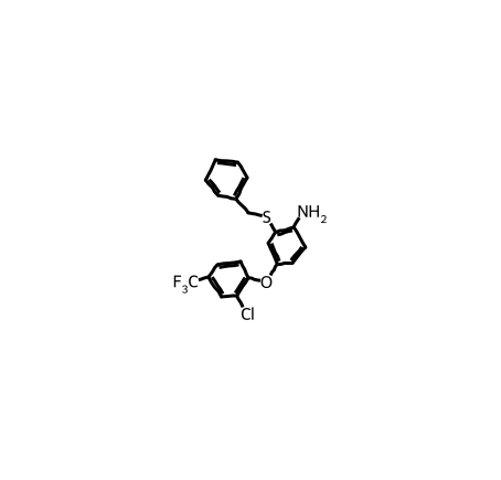 Nc1ccc(Oc2ccc(C(F)(F)F)cc2Cl)cc1SCc1ccccc1